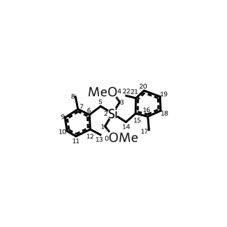 COC[Si](COC)(Cc1c(C)cccc1C)Cc1c(C)cccc1C